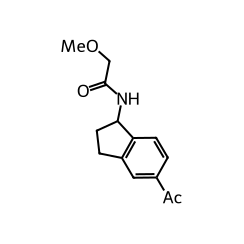 COCC(=O)NC1CCc2cc(C(C)=O)ccc21